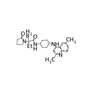 BC(CC)(C(=O)NC1CCC(Nc2cc(C)nc3ccc(C)cc23)CC1)N1CCCC1=O